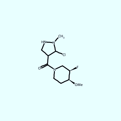 CO[C@H]1CCN(C(=O)C2CNN(C)C2Cl)C[C@H]1F